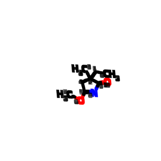 CCC1(C)CC(OC)=NC1=O